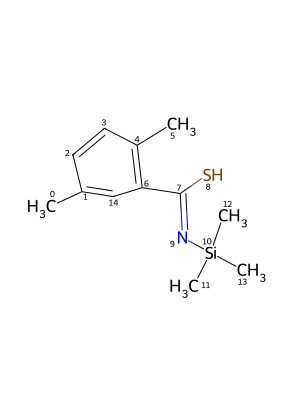 Cc1ccc(C)c(C(S)=N[Si](C)(C)C)c1